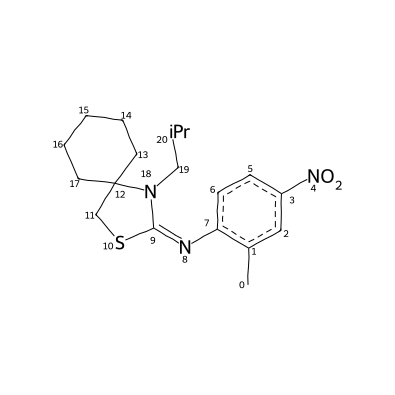 Cc1cc([N+](=O)[O-])ccc1/N=C1/SCC2(CCCCC2)N1CC(C)C